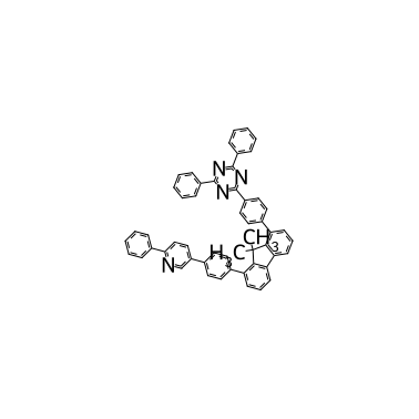 CC1(C)c2c(-c3ccc(-c4ccc(-c5ccccc5)nc4)cc3)cccc2-c2cccc(-c3ccc(-c4nc(-c5ccccc5)nc(-c5ccccc5)n4)cc3)c21